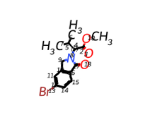 COC(=O)[C@H](C(C)C)N1Cc2cc(Br)ccc2C1=O